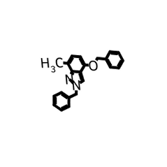 Cc1ccc(OCc2ccccc2)c2cn(Cc3ccccc3)nc12